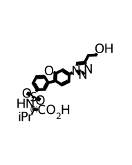 CC(C)[C@@H](NS(=O)(=O)c1ccc2oc3cc(-n4cc(CCO)nn4)ccc3c2c1)C(=O)O